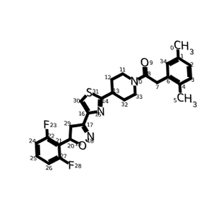 Cc1ccc(C)c(CC(=O)N2CCC(c3nc(C4=NOC(c5c(F)cccc5F)C4)cs3)CC2)c1